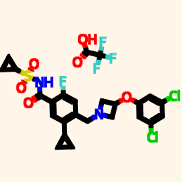 O=C(NS(=O)(=O)C1CC1)c1cc(C2CC2)c(CN2CC(Oc3cc(Cl)cc(Cl)c3)C2)cc1F.O=C(O)C(F)(F)F